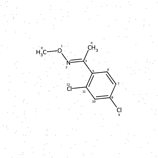 CON=C(C)c1ccc(Cl)cc1Cl